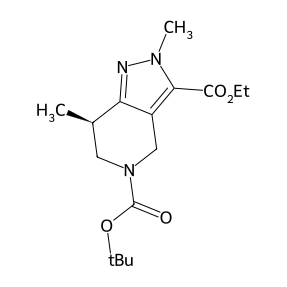 CCOC(=O)c1c2c(nn1C)[C@H](C)CN(C(=O)OC(C)(C)C)C2